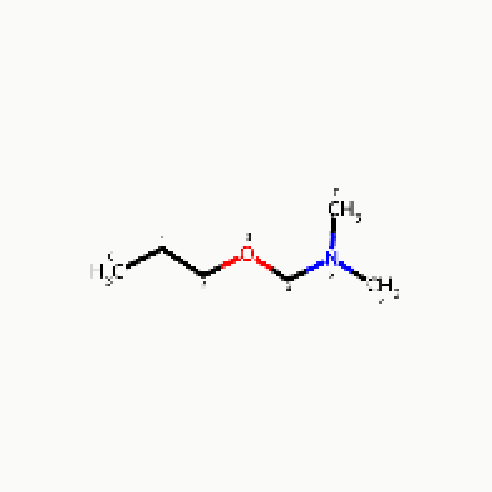 CCCO[C]N(C)C